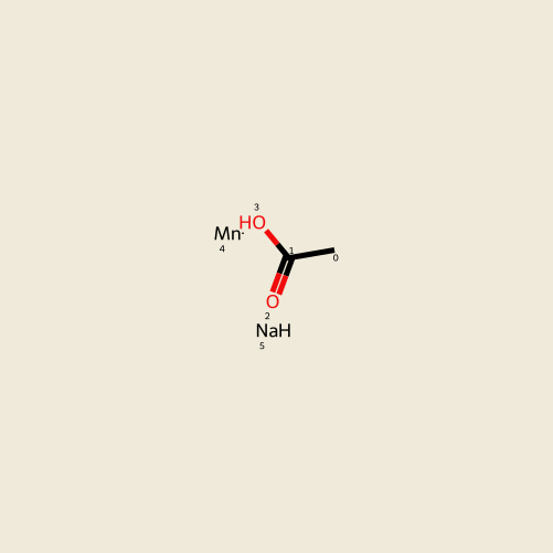 CC(=O)O.[Mn].[NaH]